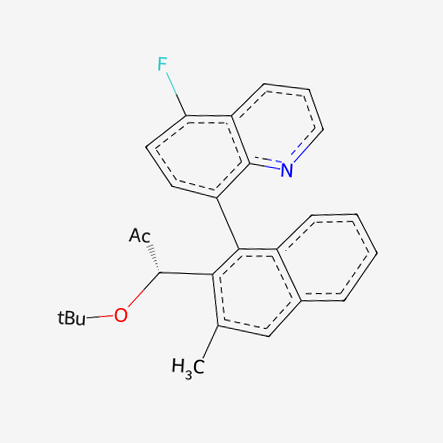 CC(=O)[C@@H](OC(C)(C)C)c1c(C)cc2ccccc2c1-c1ccc(F)c2cccnc12